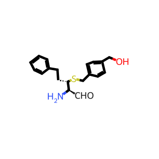 N[C@H](C=O)[C@H](CCc1ccccc1)SCc1ccc(CO)cc1